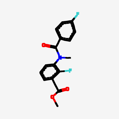 COC(=O)c1cccc(N(C)C(=O)c2ccc(F)cc2)c1F